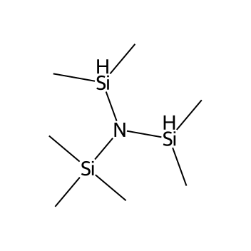 C[SiH](C)N([SiH](C)C)[Si](C)(C)C